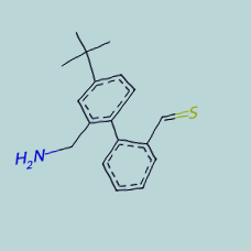 CC(C)(C)c1ccc(-c2ccccc2C=S)c(CN)c1